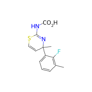 Cc1cccc(C2(C)C=CSC(NC(=O)O)=N2)c1F